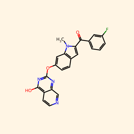 Cn1c(C(=O)c2cccc(F)c2)cc2ccc(Oc3nc(O)c4ccncc4n3)cc21